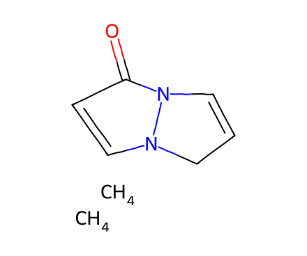 C.C.O=c1ccn2n1C=CC2